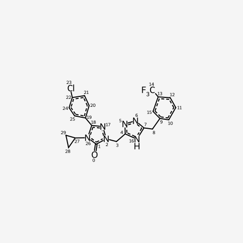 O=c1n(Cc2nnc(Cc3cccc(C(F)(F)F)c3)[nH]2)nc(-c2ccc(Cl)cc2)n1C1CC1